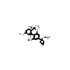 CCCCCCCC1(c2cc(O)c3c(c2)OC(C)(C)[C@@H]2CC=C(C)C[C@@H]32)CCC1